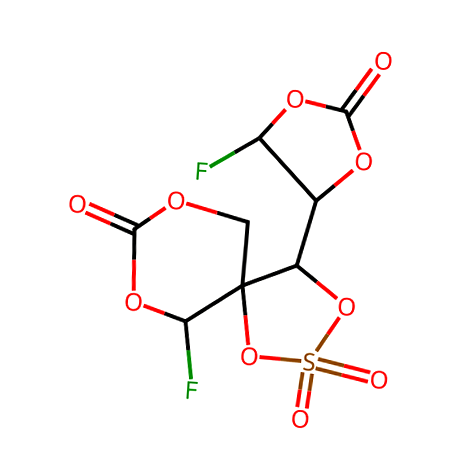 O=C1OC(F)C(C2OS(=O)(=O)OC23COC(=O)OC3F)O1